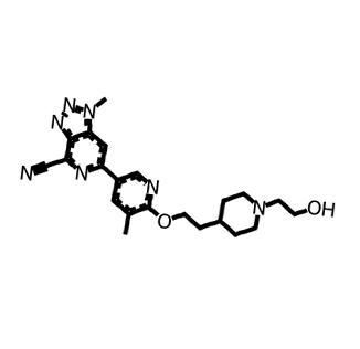 Cc1cc(-c2cc3c(nnn3C)c(C#N)n2)cnc1OCCC1CCN(CCO)CC1